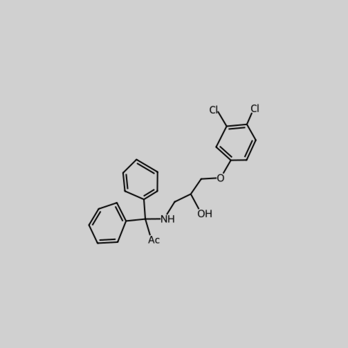 CC(=O)C(NCC(O)COc1ccc(Cl)c(Cl)c1)(c1ccccc1)c1ccccc1